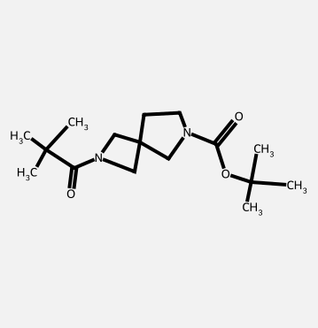 CC(C)(C)OC(=O)N1CCC2(C1)CN(C(=O)C(C)(C)C)C2